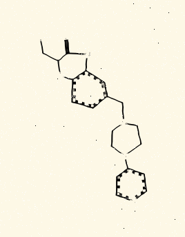 CCC1Oc2ccc(CN3CCN(c4ccncc4)CC3)cc2NC1=O